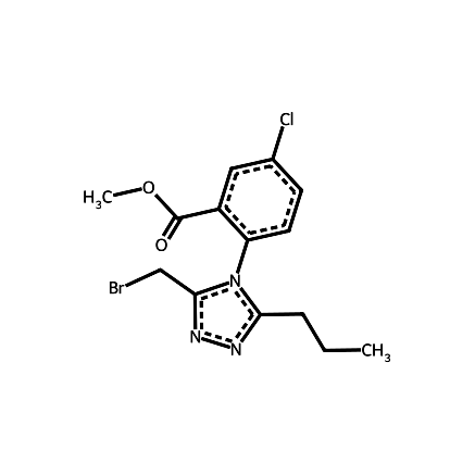 CCCc1nnc(CBr)n1-c1ccc(Cl)cc1C(=O)OC